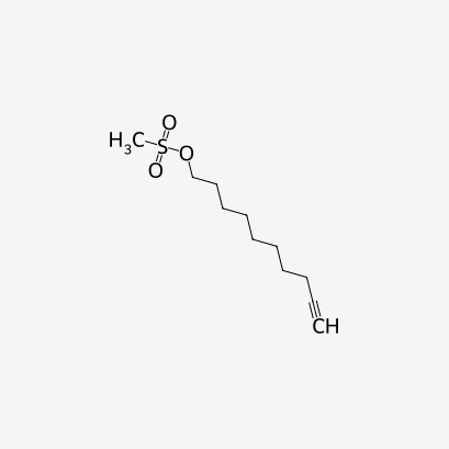 C#CCCCCCCCCOS(C)(=O)=O